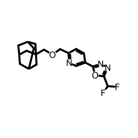 FC(F)c1nnc(-c2ccc(COCC34CC5CC(CC(C5)C3)C4)nc2)o1